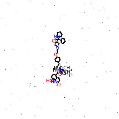 CC(C)(C)[Si](C)(C)O[C@H](CNCCc1ccc(OCCCN2CC[C@@H](C(C(N)=O)(c3ccccc3)c3ccccc3)C2)cc1)c1ccc(O)c2[nH]c(=O)ccc12